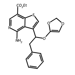 CCOC(=O)c1cnc(N)c2c(C(Cc3ccccc3)OC3=COCO3)csc12